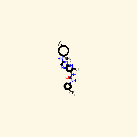 BC1(Nc2cnc3cc(NC(=O)Nc4cccc(C(F)(F)F)c4)c(C)nc3n2)CCCCC(C)CCC1